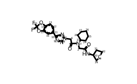 O=C(CN(C(=O)Cn1nnc(-c2ccc3c(c2)OC(F)(F)O3)n1)C1CCCCC1)NC1CCCC1